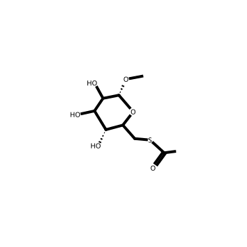 CO[C@@H]1OC(CSC(C)=O)[C@H](O)C(O)C1O